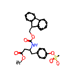 CC(C)OC(=O)CC(Cc1ccc(OS(C)(=O)=O)cc1)NC(=O)OCC1c2ccccc2-c2ccccc21